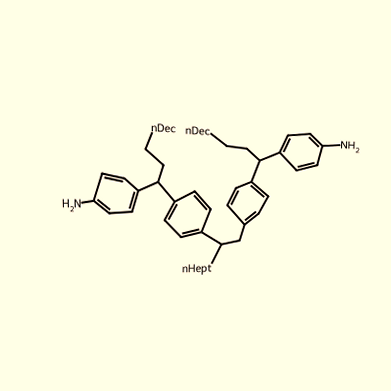 CCCCCCCCCCCCC(c1ccc(N)cc1)c1ccc(CC(CCCCCCC)c2ccc(C(CCCCCCCCCCCC)c3ccc(N)cc3)cc2)cc1